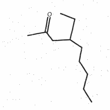 CCCCCC(CC)CC(C)=O